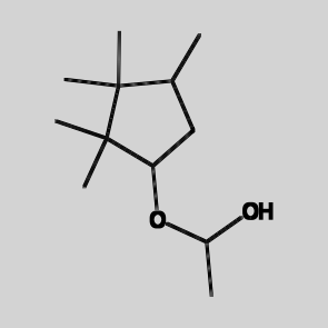 CC(O)OC1CC(C)C(C)(C)C1(C)C